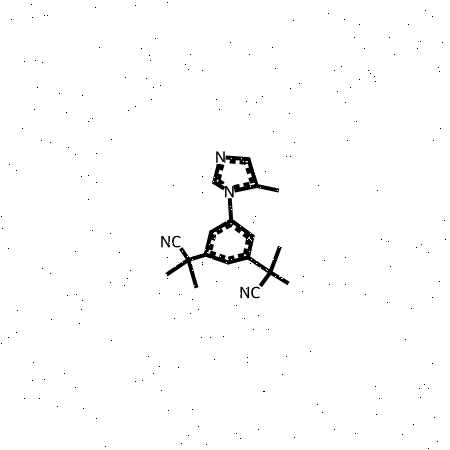 Cc1cncn1-c1cc(C(C)(C)C#N)cc(C(C)(C)C#N)c1